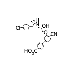 N#Cc1ccc(-c2ccc(C(=O)O)cc2)cc1OCC(O)CNC1(Cc2ccc(Cl)cc2)CC1